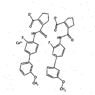 COc1cccc(-c2ccc(NC(=O)C3=C(C(=O)[O-])CCC3)c(F)c2)c1.COc1cccc(-c2ccc(NC(=O)C3=C(C(=O)[O-])CCC3)c(F)c2)c1.[Ca+2]